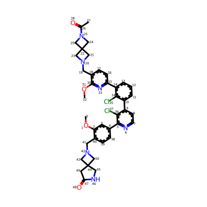 COc1cc(-c2nccc(-c3cccc(-c4ccc(CN5CC6(C5)CN(C(C)=O)C6)c(OC)n4)c3Cl)c2Cl)ccc1CN1CC2(CNC(=O)C2)C1